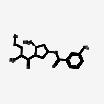 CC(=O)SCC(C)C(=O)N1C[C@@H](OC(=O)c2cccc(C(F)(F)F)c2)C[C@H]1C(=O)O